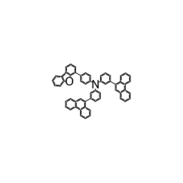 c1cc(-c2cc3ccccc3c3ccccc23)cc(N(c2ccc(-c3cccc4c3oc3ccccc34)cc2)c2cccc(-c3cc4ccccc4c4ccccc34)c2)c1